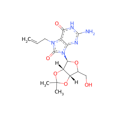 C=CCn1c(=O)n([C@H]2OC(CO)[C@@H]3OC(C)(C)O[C@@H]32)c2nc(N)[nH]c(=O)c21